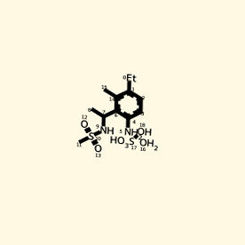 CCc1ccc(N)c(C(C)NS(C)(=O)=O)c1C.O.O=S(=O)(O)O